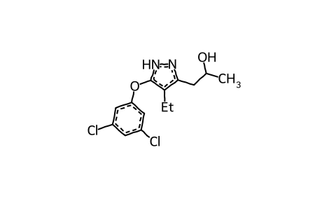 CCc1c(CC(C)O)n[nH]c1Oc1cc(Cl)cc(Cl)c1